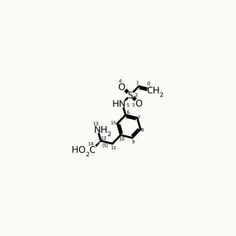 C=CS(=O)(=O)Nc1cccc(C[C@H](N)C(=O)O)c1